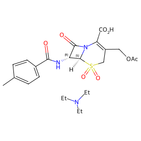 CC(=O)OCC1=C(C(=O)O)N2C(=O)[C@@H](NC(=O)c3ccc(C)cc3)[C@@H]2S(=O)(=O)C1.CCN(CC)CC